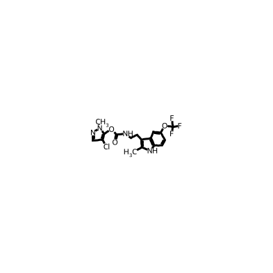 Cc1[nH]c2ccc(OC(F)(F)F)cc2c1CCNC(=O)Oc1c(Cl)cnn1C